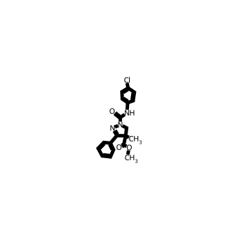 COC(=O)C1(C)CN(C(=O)Nc2ccc(Cl)cc2)N=C1c1ccccc1